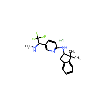 CNC(c1ccc(NC2Cc3ccccc3C2(C)C)nc1)C(F)(F)F.Cl